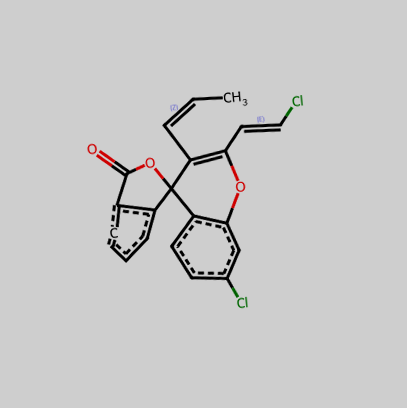 C/C=C\C1=C(/C=C/Cl)Oc2cc(Cl)ccc2C12OC(=O)c1ccccc12